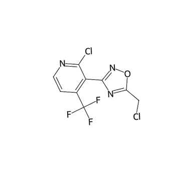 FC(F)(F)c1ccnc(Cl)c1-c1noc(CCl)n1